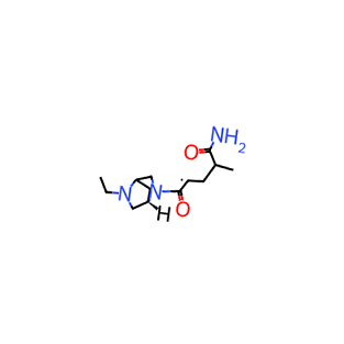 CCN1C[C@@H]2CC1CN2C(=O)[CH]CC(C)C(N)=O